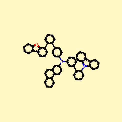 c1cc(-c2ccccc2-n2c3ccccc3c3ccccc32)cc(N(c2ccc(-c3ccccc3-c3cccc4c3oc3ccccc34)cc2)c2ccc3c(ccc4ccccc43)c2)c1